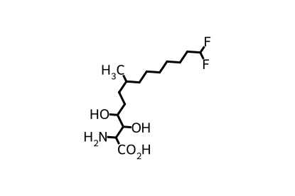 CC(CCCCCCC(F)F)CCC(O)C(O)C(N)C(=O)O